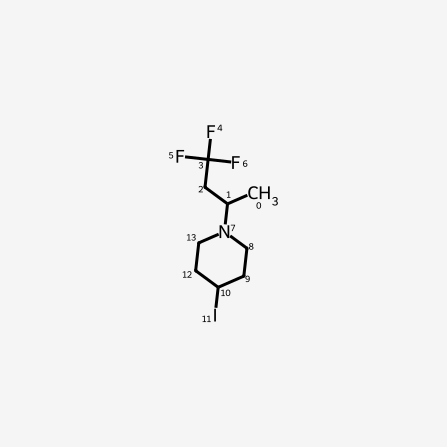 CC(CC(F)(F)F)N1CCC(I)CC1